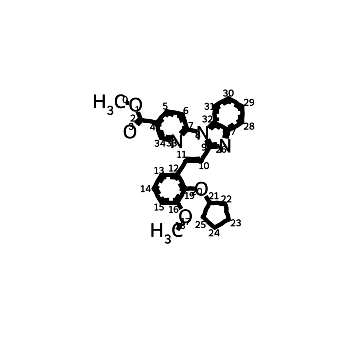 COC(=O)c1ccc(-n2c(/C=C/c3cccc(OC)c3OC3CCCC3)nc3ccccc32)nc1